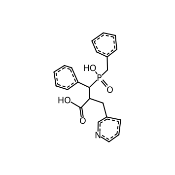 O=C(O)C(Cc1cccnc1)C(c1ccccc1)P(=O)(O)Cc1ccccc1